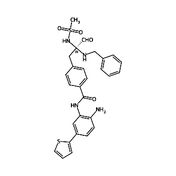 CS(=O)(=O)N[C@](C=O)(Cc1ccc(C(=O)Nc2cc(-c3cccs3)ccc2N)cc1)NCc1ccccc1